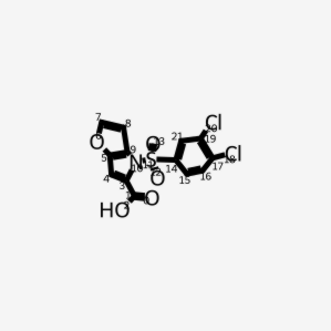 O=C(O)c1cc2occc2n1S(=O)(=O)c1ccc(Cl)c(Cl)c1